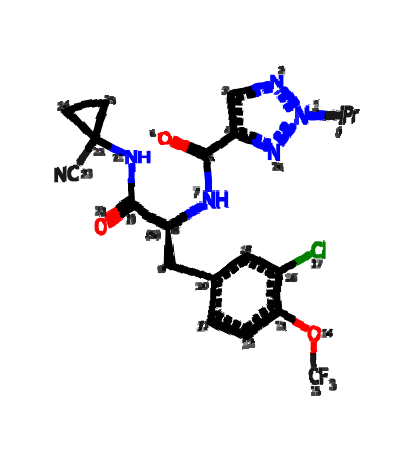 CC(C)n1ncc(C(=O)N[C@@H](Cc2ccc(OC(F)(F)F)c(Cl)c2)C(=O)NC2(C#N)CC2)n1